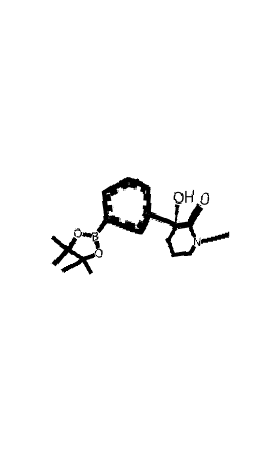 CN1CCC[C@](O)(c2cccc(B3OC(C)(C)C(C)(C)O3)c2)C1=O